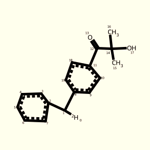 [2H]C(c1ccccc1)c1ccc(C(=O)C(C)(C)O)cc1